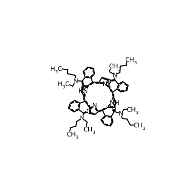 CCCCN(CC)C(=O)c1ccccc1-c1c2nc(c(-c3ccccc3C(=O)N(CC)CCCC)c3ccc([nH]3)c(-c3ccccc3C(=O)N(CC)CCCC)c3nc(c(-c4ccccc4C(=O)N(CC)CCCC)c4ccc1[nH]4)C=C3)C=C2